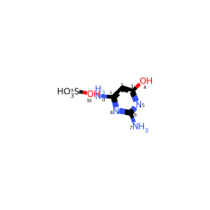 Nc1cc(O)nc(N)n1.O=S(=O)(O)O